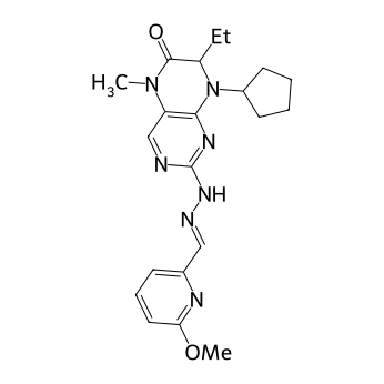 CCC1C(=O)N(C)c2cnc(NN=Cc3cccc(OC)n3)nc2N1C1CCCC1